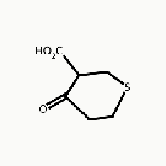 O=C(O)C1CSCCC1=O